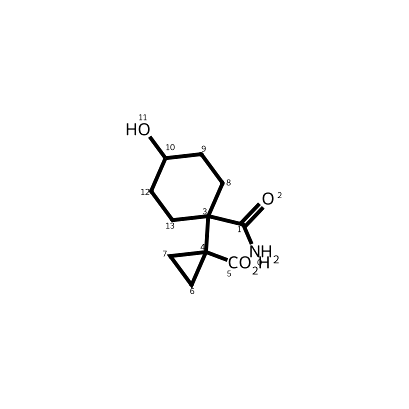 NC(=O)C1(C2(C(=O)O)CC2)CCC(O)CC1